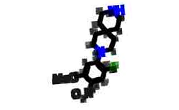 COc1cc(N2CCC3(CCNCC3)CC2)c(F)cc1[N+](=O)[O-]